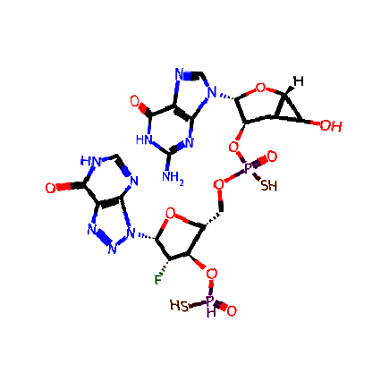 Nc1nc2c(ncn2[C@@H]2O[C@@H]3C(O)C3[C@H]2OP(=O)(S)OC[C@H]2O[C@@H](n3nnc4c(=O)[nH]cnc43)[C@@H](F)[C@@H]2O[PH](=O)S)c(=O)[nH]1